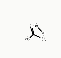 CC(=O)O.O=[N][Ru]